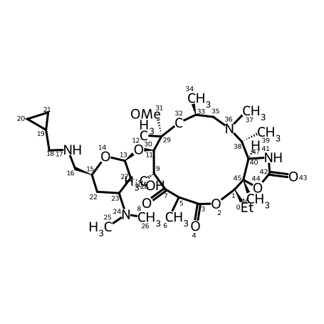 CC[C@H]1OC(=O)C(C)C(=O)[C@H](C)[C@@H](O[C@@H]2O[C@H](CNCC3CC3)CC(N(C)C)[C@H]2O)[C@](C)(OC)C[C@@H](C)CN(C)[C@H](C)[C@H]2NC(=O)O[C@@]21C